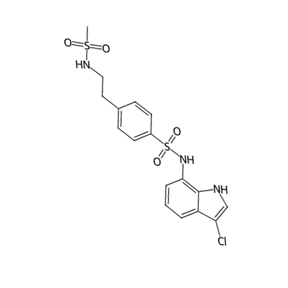 CS(=O)(=O)NCCc1ccc(S(=O)(=O)Nc2cccc3c(Cl)c[nH]c23)cc1